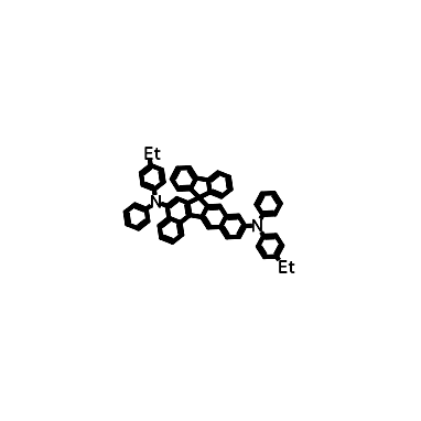 CCc1ccc(N(c2ccccc2)c2ccc3cc4c(cc3c2)C2(c3ccccc3-c3ccccc32)c2cc(N(c3ccccc3)c3ccc(CC)cc3)c3ccccc3c2-4)cc1